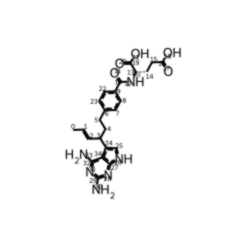 CC=CC(CCc1ccc(C(=O)N[C@@H](CCC(=O)O)C(=O)O)cc1)c1c[nH]c2nc(N)nc(N)c12